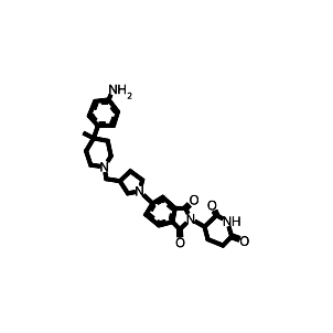 CC1(c2ccc(N)cc2)CCN(CC2CCN(c3ccc4c(c3)C(=O)N(C3CCC(=O)NC3=O)C4=O)C2)CC1